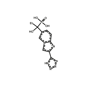 CCC(O)(c1ccc2nc(-c3nnn[nH]3)cn2c1)P(=O)(O)O